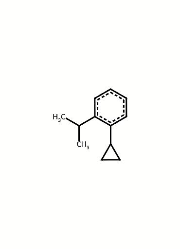 CC(C)c1ccccc1C1CC1